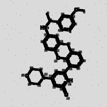 COc1ccnc(C(C)Nc2ccc3c(c2)Cc2cccc(-c4cc(N5CCOCC5)cc(=O)[nH]4)c2O3)c1